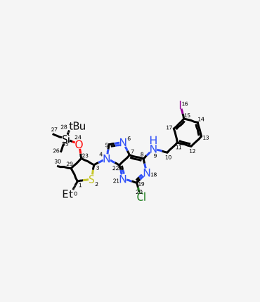 CCC1SC(n2cnc3c(NCc4cccc(I)c4)nc(Cl)nc32)C(O[Si](C)(C)C(C)(C)C)C1C